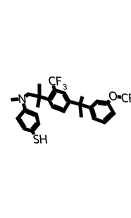 CN(CC(C)(C)c1ccc(C(C)(C)c2cccc(OC(F)(F)F)c2)cc1C(F)(F)F)c1ccc(S)cc1